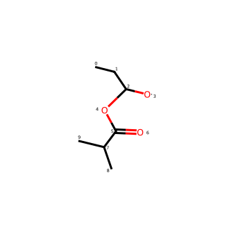 CCC([O])OC(=O)C(C)C